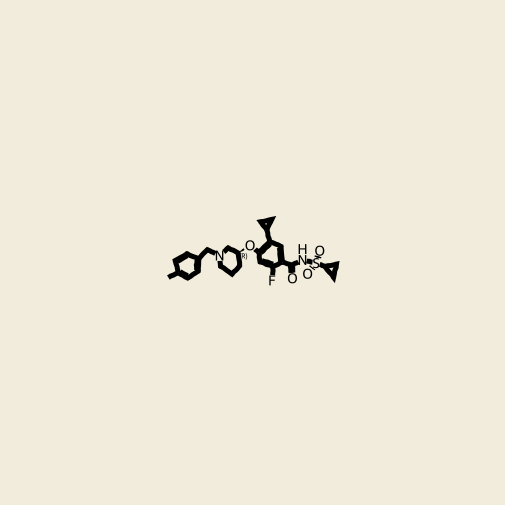 Cc1ccc(CN2CCC[C@@H](Oc3cc(F)c(C(=O)NS(=O)(=O)C4CC4)cc3C3CC3)C2)cc1